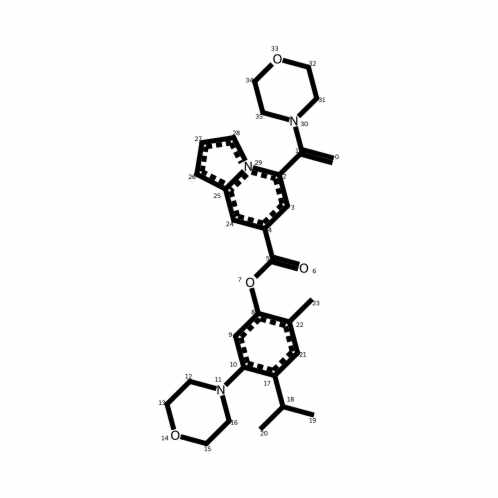 C=C(c1cc(C(=O)Oc2cc(N3CCOCC3)c(C(C)C)cc2C)cc2cccn12)N1CCOCC1